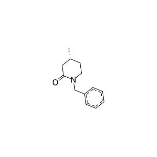 C[C@@H]1CCN(Cc2ccccc2)C(=O)C1